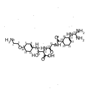 NCCO[C@H]1CC=C(NC(O)C(NC(=O)CNC(=O)[C@@H]2CCC=C(NC(N)N)C2)C(=O)O)CC1